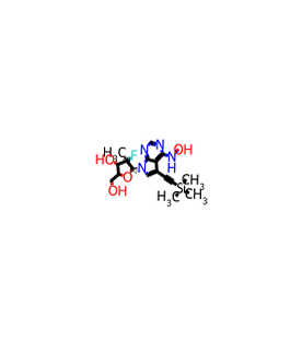 C[C@@]1(F)C(O)C(CO)O[C@H]1n1cc(C#C[Si](C)(C)C)c2c(NO)ncnc21